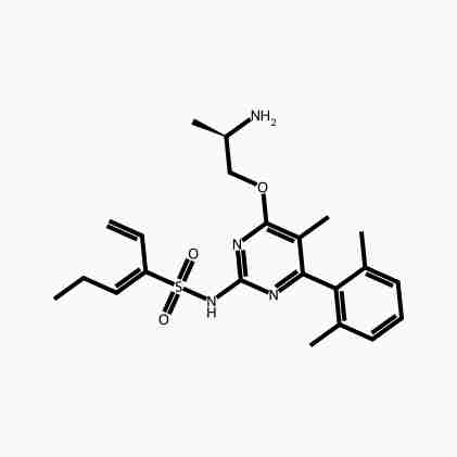 C=C/C(=C\CC)S(=O)(=O)Nc1nc(OC[C@@H](C)N)c(C)c(-c2c(C)cccc2C)n1